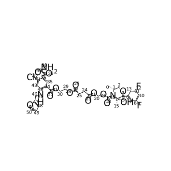 C[C@@H]1CO[C@@](O)(c2cc(F)cc(F)c2)[C@H](C)N1C(=O)OCOC(=O)CCC(=O)OCCOC(=O)c1cc(S(N)(=O)=O)c(Cl)cc1NCc1ccco1